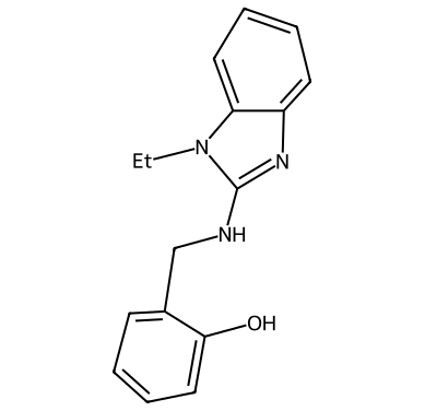 CCn1c(NCc2ccccc2O)nc2ccccc21